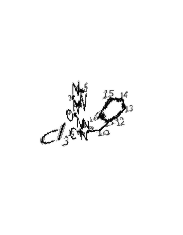 O=C(n1cncn1)n1nc(Cc2ccccc2)nc1C(Cl)(Cl)Cl